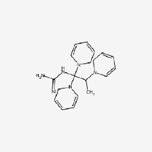 CC(N1C=CC=CC1)C(NC(=N)N)(N1C=CC=CC1)N1C=CC=CC1